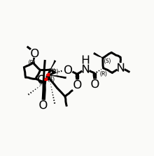 CO[C@@H]1CCC23CC[C@@H](C)[C@](C)(C12)[C@H](OC(=O)NC(=O)[C@H]1CN(C)CC[C@@H]1C)C[C@@](C)(C(C)C)C(=O)[C@@H]3C